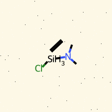 C=C.CN(C)C.[SiH3]Cl